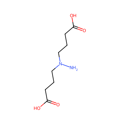 NN(CCCC(=O)O)CCCC(=O)O